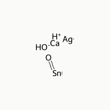 [Ag].[CaH+].[OH-].[O]=[Sn]